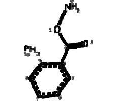 NOC(=O)c1ccccc1.P